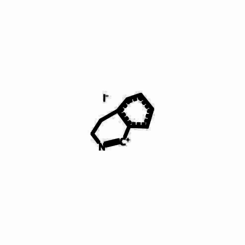 [C+]1=NCCc2ccccc21.[I-]